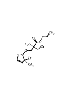 C=CCOC(=O)C(C)(CO)COC1OC=CC1(C)CC